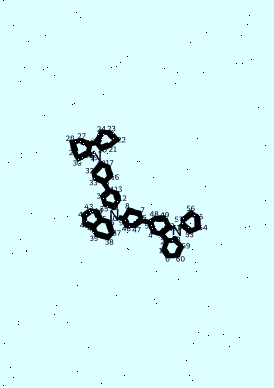 C1=CC2c3cc(-c4ccc(N(c5ccc(-c6ccc(-n7c8ccccc8c8ccccc87)cc6)cc5)c5cccc6ccccc56)cc4)ccc3N(c3ccccc3)C2C=C1